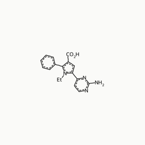 CCn1c(-c2ccnc(N)n2)cc(C(=O)O)c1-c1ccccc1